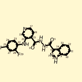 O=C(NNC(=O)c1n[nH]c2ccccc12)c1ccncc1Nc1ccc(I)cc1F